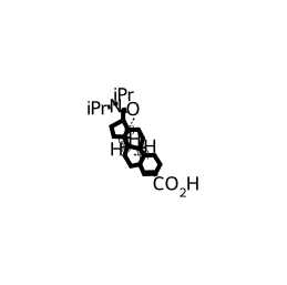 CC(C)N(C(=O)C1CC[C@H]2[C@@H]3CCC4C=C(C(=O)O)CC[C@]4(C)[C@@H]3CC[C@]12C)C(C)C